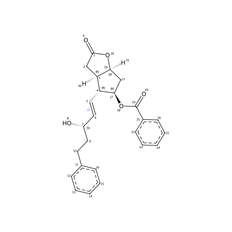 O=C1C[C@@H]2[C@@H](/C=C/[C@@H](O)CCc3ccccc3)[C@H](OC(=O)c3ccccc3)C[C@@H]2O1